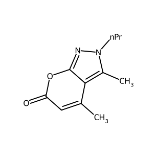 CCCn1nc2oc(=O)cc(C)c2c1C